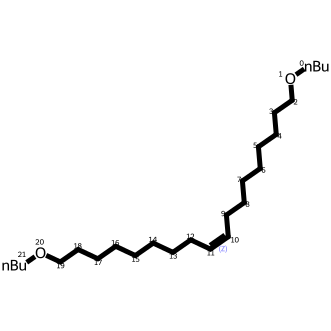 CCCCOCCCCCCCC/C=C\CCCCCCCCOCCCC